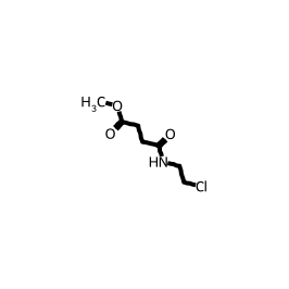 COC(=O)CCC(=O)NCCCl